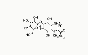 CC(=O)NC(CN(C)C(C(N)=O)C(C)C)C(O)C(OC1OC(CO)C(O)C(O)C1O)C(O)CO